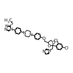 CSc1nncn1-c1ccc(N2CCN(c3ccc(OCC4COC(Cn5ccnc5)(c5ccc(Cl)cc5Cl)O4)cc3)CC2)cc1